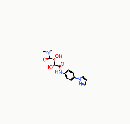 CN(C)C(=O)[C@H](O)C(O)C(=O)Nc1ccc(-n2cccn2)cc1